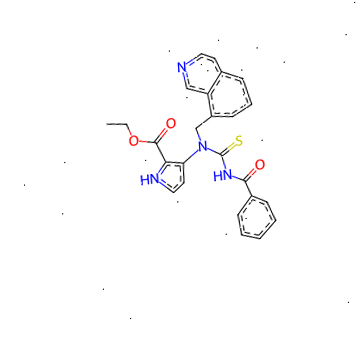 CCOC(=O)c1[nH]ccc1N(Cc1cccc2ccncc12)C(=S)NC(=O)c1ccccc1